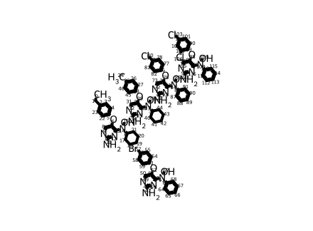 CCc1ccc(Oc2cnc(N)nc2N(O)C2CCCCC2)cc1.Cc1ccc(Oc2cnc(N)nc2N(O)C2CCCCC2)cc1.Nc1ncc(Oc2ccc(Br)cc2)c(N(O)c2ccccc2)n1.Nc1ncc(Oc2ccc(Cl)cc2)c(N(O)c2ccccc2)n1.Nc1ncc(Oc2ccc(Cl)cc2Cl)c(N(O)c2ccccc2)n1